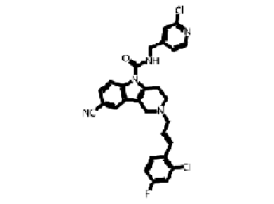 N#Cc1ccc2c(c1)c1c(n2C(=O)NCc2ccnc(Cl)c2)CCN(C/C=C/c2ccc(F)cc2Cl)C1